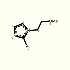 COCCn1ccnc1C(C)=O